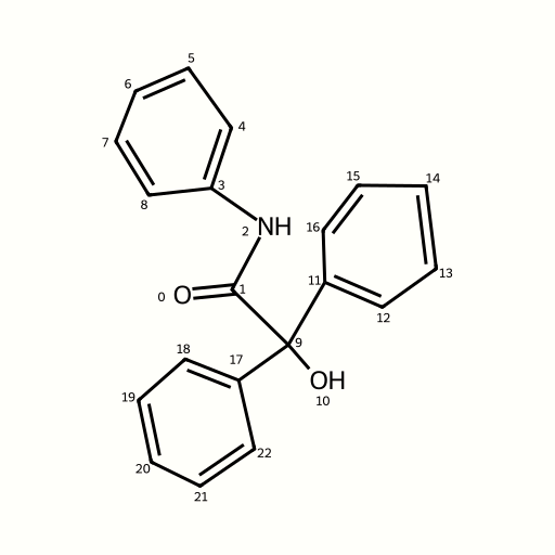 O=C(Nc1ccccc1)C(O)(c1ccccc1)c1ccccc1